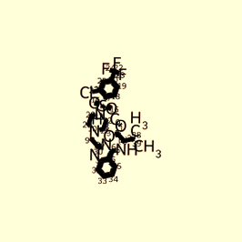 COC(=O)[C@@H](Nc1nc(CN2CCN(S(=O)(=O)c3ccc(C(F)(F)F)cc3Cl)CC2)nc2ccccc12)C(C)C